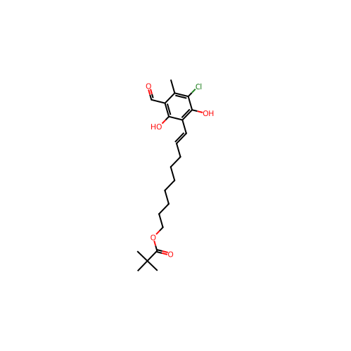 Cc1c(Cl)c(O)c(C=CCCCCCCCOC(=O)C(C)(C)C)c(O)c1C=O